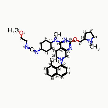 COCCN=C=NC1CCC(N(C)c2nc(OCC3CCCN3C)nc3c2CCN(c2cccc4cccc(C)c24)C3)CC1